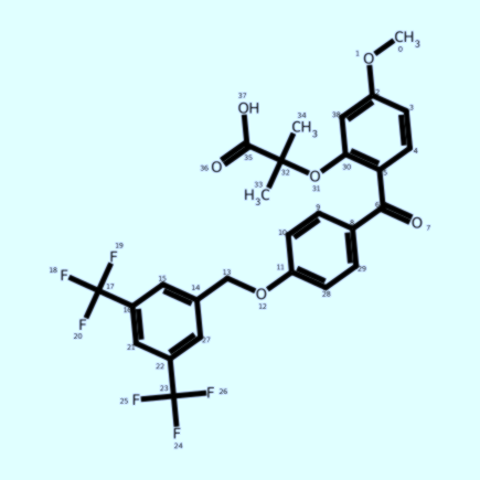 COc1ccc(C(=O)c2ccc(OCc3cc(C(F)(F)F)cc(C(F)(F)F)c3)cc2)c(OC(C)(C)C(=O)O)c1